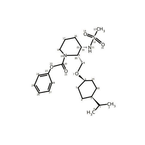 CC(C)[C@H]1CC[C@@H](OC[C@H]2[C@@H](NS(C)(=O)=O)CCCN2C(=O)Oc2ccccc2)CC1